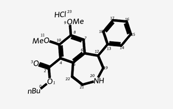 CCCCOC(=O)c1c2c(cc(OC)c1OC)C(c1ccccc1)CNCC2.Cl